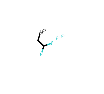 FC(F)[CH2][Al+2].[F-].[F-]